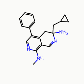 CNc1ncc(-c2ccccc2)c2c1C=NC(N)(CC1CC1)C2